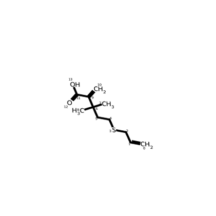 C=CCSCCC(C)(C)C(=C)C(=O)O